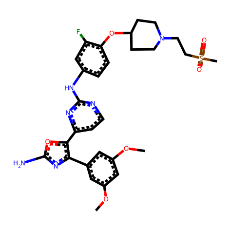 COc1cc(OC)cc(-c2nc(N)oc2-c2ccnc(Nc3ccc(OC4CCN(CCS(C)(=O)=O)CC4)c(F)c3)n2)c1